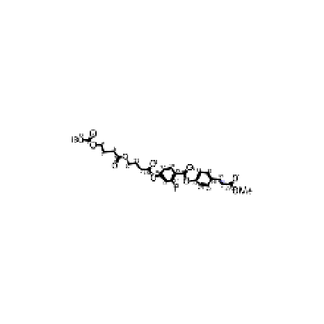 CCC(C)C(=O)OCCCC(=O)OCCCC(=O)Oc1ccc(C(=O)Oc2ccc(/C=C/C(=O)OC)cc2)c(F)c1